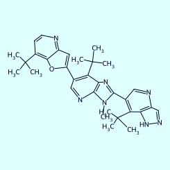 Cn1c(-c2cnc3cn[nH]c3c2C(C)(C)C)nc2c(C(C)(C)C)c(-c3cc4nccc(C(C)(C)C)c4o3)cnc21